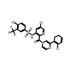 O=C(c1ncc(Cl)cc1NS(=O)(=O)c1ccc(Cl)c(C(F)(F)F)c1)N1C=COC(C2=C(Cl)C=CCC2)=C1